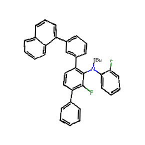 CC(C)(C)N(c1ccccc1F)c1c(-c2cccc(-c3cccc4ccccc34)c2)ccc(-c2ccccc2)c1F